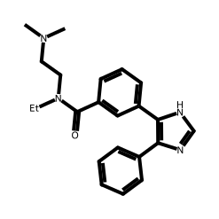 CCN(CCN(C)C)C(=O)c1cccc(-c2[nH]cnc2-c2ccccc2)c1